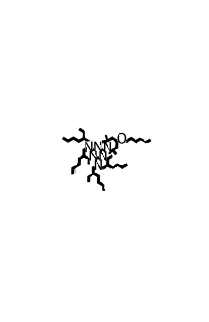 CCCCCCOC1CC(C)(C)N(c2nc(N(CC(CC)CCCC)CC(CC)CCCC)nc(N(CC(CC)CCCC)CC(CC)CCCC)n2)C(C)(C)C1